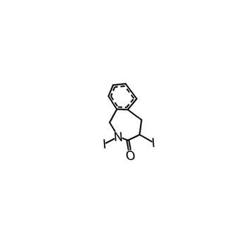 O=C1C(I)Cc2ccccc2CN1I